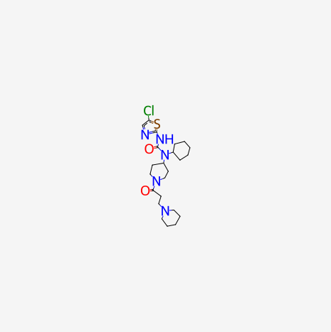 O=C(CCN1CCCCC1)N1CCC(N(C(=O)Nc2ncc(Cl)s2)C2CCCCC2)CC1